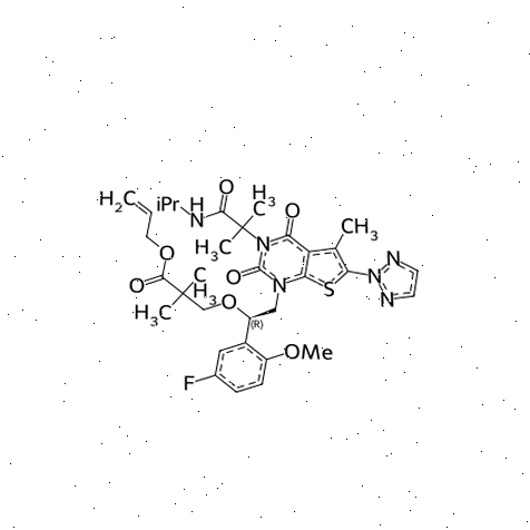 C=CCOC(=O)C(C)(C)CO[C@@H](Cn1c(=O)n(C(C)(C)C(=O)NC(C)C)c(=O)c2c(C)c(-n3nccn3)sc21)c1cc(F)ccc1OC